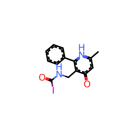 Cc1cc(=O)c(CNC(=O)I)c(-c2ccccc2)[nH]1